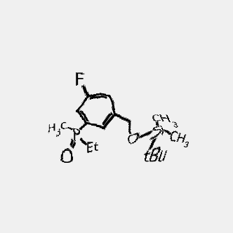 CCP(C)(=O)c1cc(F)cc(CO[Si](C)(C)C(C)(C)C)c1